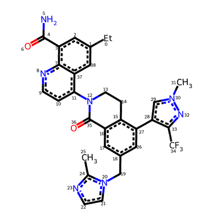 CCc1cc(C(N)=O)c2nccc(N3CCc4c(cc(Cn5ccnc5C)cc4-c4cn(C)nc4C(F)(F)F)C3=O)c2c1